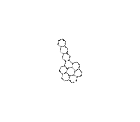 c1ccc2cc3cc4c(cc3cc2c1)c1ccc2ccc3ccc5ccc6ccc4c4c6c5c3c2c14